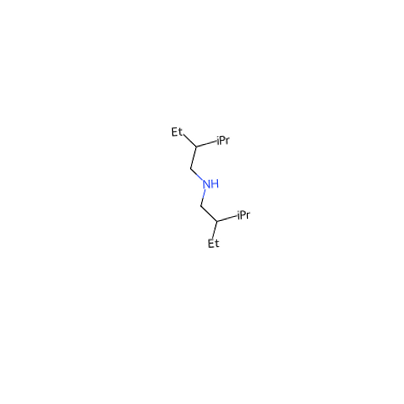 CCC(CNCC(CC)C(C)C)C(C)C